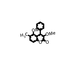 COc1c(-c2ccccc2)c2c(OC)c(C)ccc2oc1=O